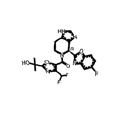 CC(C)(O)c1nc(C(F)F)c(C(=O)N2CCc3[nH]cnc3[C@H]2c2nc3cc(F)ccc3o2)o1